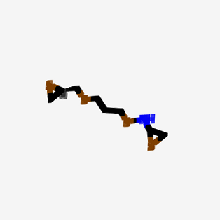 C(CSC[C@@H]1CS1)CSNC1CS1